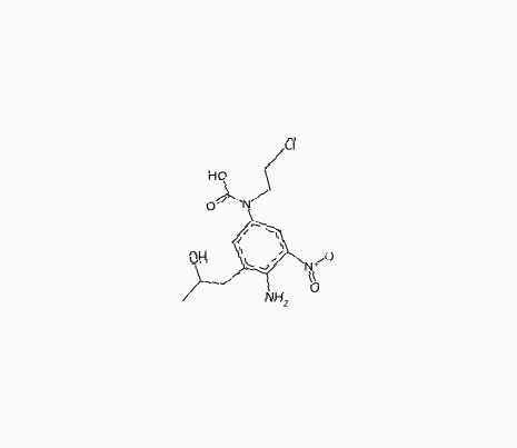 CC(O)Cc1cc(N(CCCl)C(=O)O)cc([N+](=O)[O-])c1N